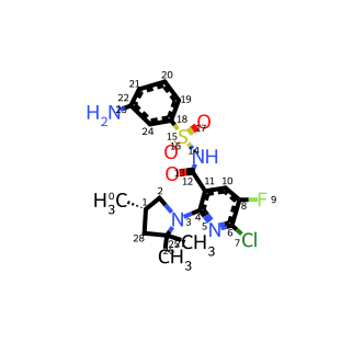 C[C@@H]1CN(c2nc(Cl)c(F)cc2C(=O)NS(=O)(=O)c2cccc(N)c2)C(C)(C)C1